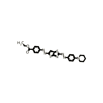 CCOC(=O)c1ccc(N=Nc2cc3sc(N=Nc4ccc(N5CCCCC5)cc4)nc3s2)cc1